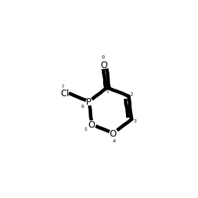 O=C1C=COOP1Cl